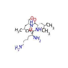 CC(C)C[C@@H]([C]=O)NC(=O)[C@H](CC(C)C)NC(=O)[C@@H](N)CCCCN